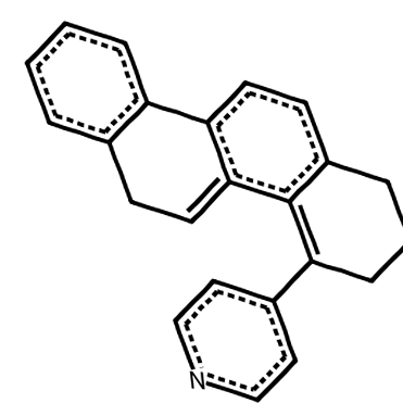 C1=c2c(ccc3c2=C(c2ccncc2)CCC3)-c2ccccc2C1